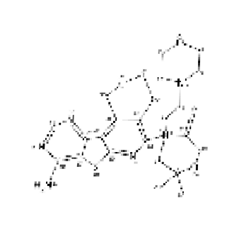 CC1(C)C[N+](CCN2CCOCC2)(c2nc3sc4c(N)ncnc4c3c3c2CCCC3)C(=S)CO1